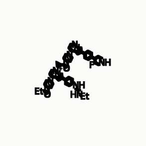 CCNCCNc1ccc(-c2cc3c(N4CCN(C(=O)CC)CC4)cc[n+](C4CC4C(=O)N4CCN(c5ccnn6cc(-c7ccc(C8CCNCC8F)cc7)cc56)CC4)n3c2)cc1